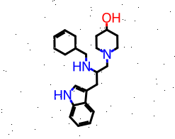 OC1CCN(CC(Cc2c[nH]c3ccccc23)NCC2CC=CCC2)CC1